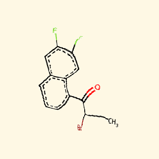 CC(Br)C(=O)c1cccc2cc(F)c(F)cc12